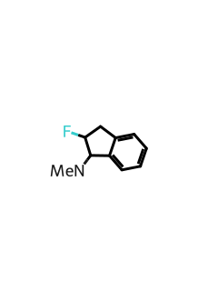 CNC1c2ccccc2CC1F